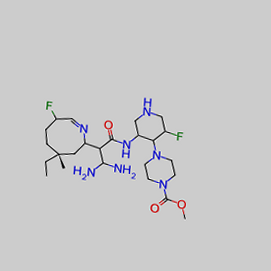 CC[C@]1(C)CCC(F)/C=N\C(C(C(=O)NC2CNCC(F)C2N2CCN(C(=O)OC)CC2)C(N)N)C1